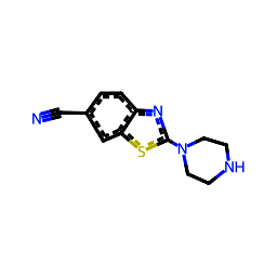 N#Cc1ccc2nc(N3CCNCC3)sc2c1